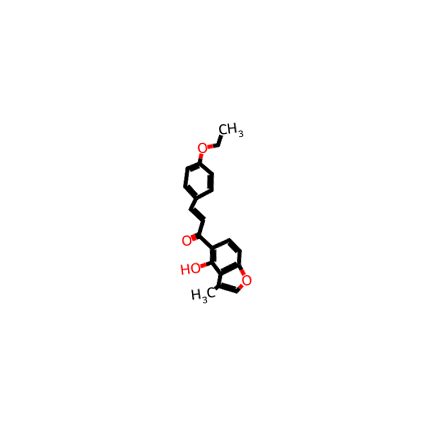 CCOc1ccc(/C=C/C(=O)c2ccc3occ(C)c3c2O)cc1